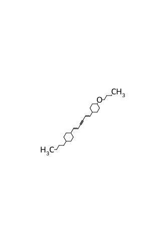 CCCCOC1CCC(C=CC#CC=CC2CCC(CCCC)CC2)CC1